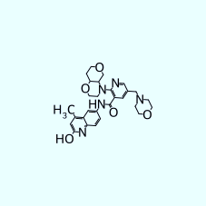 Cc1cc(O)nc2ccc(NC(=O)c3cc(CN4CCOCC4)cnc3N3CCOC4CCOCC43)cc12